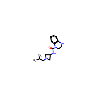 CC(C)CN1CC(NC(=O)N2CCNc3ccccc32)C1